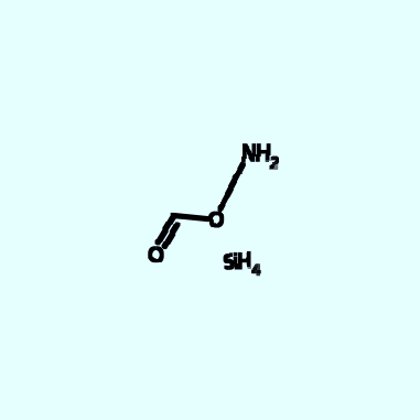 NOC=O.[SiH4]